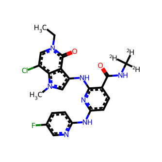 [2H]C([2H])([2H])NC(=O)c1ccc(Nc2ccc(F)cn2)nc1Nc1cn(C)c2c(Cl)cn(CC)c(=O)c12